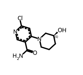 NC(=O)c1cnc(Cl)cc1N1CCC[C@H](O)C1